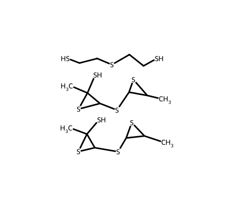 CC1SC1SC1SC1(C)S.CC1SC1SC1SC1(C)S.SCCSCCS